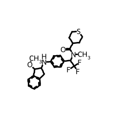 COC1c2ccccc2CC1Nc1ccc(C(N(C)C(=O)C2CCSCC2)C(F)(F)F)cc1